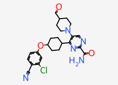 N#Cc1ccc(OC2CCC(c3nc(C(N)=O)ncc3N3CCC(C=O)CC3)CC2)cc1Cl